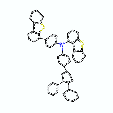 c1ccc(-c2ccc(-c3ccc(N(c4ccc(-c5cccc6c5sc5ccccc56)cc4)c4cccc5sc6ccccc6c45)cc3)cc2-c2ccccc2)cc1